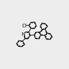 Clc1ccccc1-c1cnc(-c2ccccc2)cc1-c1ccc2c3ccccc3c3ccccc3c2c1